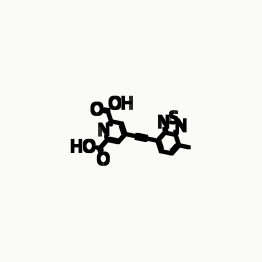 Cc1ccc(C#Cc2cc(C(=O)O)nc(C(=O)O)c2)c2nsnc12